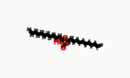 CCCCCCCCCCCCOCCCCCCCCCCCC.O=[SH](=O)O